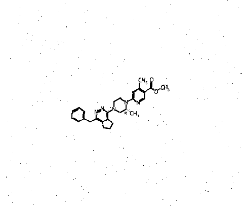 COC(=O)c1cnc(N2CCN(c3nnc(Cc4ccccc4)c4c3CCC4)C[C@H]2C)cc1C